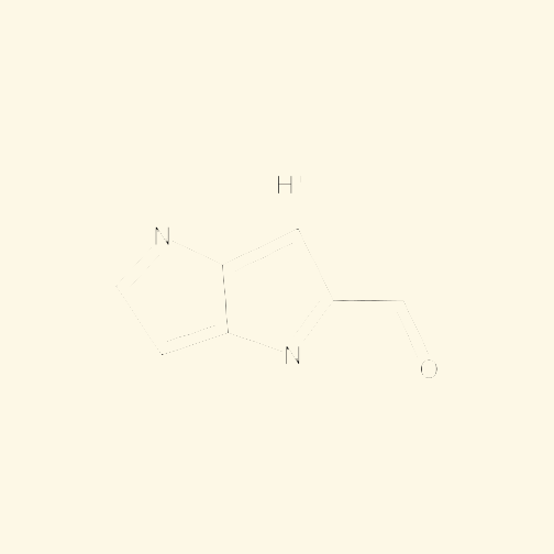 O=CC1=NC2=CC=NC2=C1.[H+]